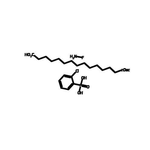 CCCCCCCCCCCCCCCCCCCCCCCC(=O)O.NF.O=P(O)(O)c1ccccc1Cl